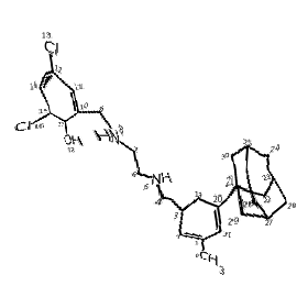 CC1=CC(CNCCNCC2=CC(Cl)=CC(Cl)C2O)CC(C23CC4CC(CC(C4)C2)C3)=C1